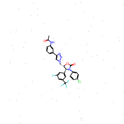 CC(=O)Nc1cccc(-c2cn(C[C@@H]3OC(=O)N(c4ccc(Cl)cc4)[C@H]3c3cc(F)cc(C(F)(F)F)c3)nn2)c1